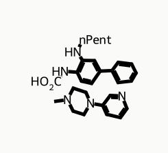 CCCCCNc1cc(-c2ccccc2)ccc1NC(=O)O.CN1CCN(c2cccnc2)CC1